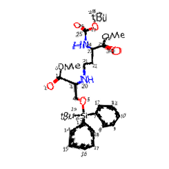 COC(=O)C(CO[Si](c1ccccc1)(c1ccccc1)C(C)(C)C)NCCC(NC(=O)OC(C)(C)C)C(=O)OC